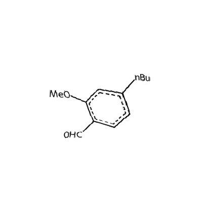 CCCCc1ccc(C=O)c(OC)c1